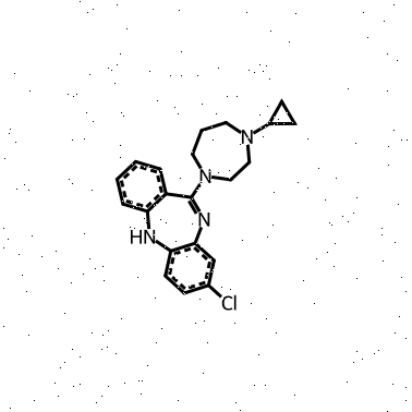 Clc1ccc2c(c1)N=C(N1CCCN(C3CC3)CC1)c1ccccc1N2